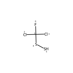 FC(Cl)(Cl)SS